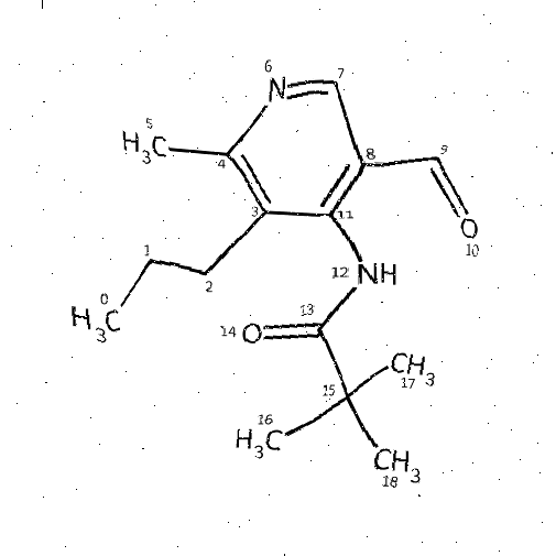 CCCc1c(C)ncc(C=O)c1NC(=O)C(C)(C)C